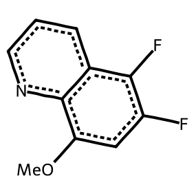 COc1cc(F)c(F)c2cccnc12